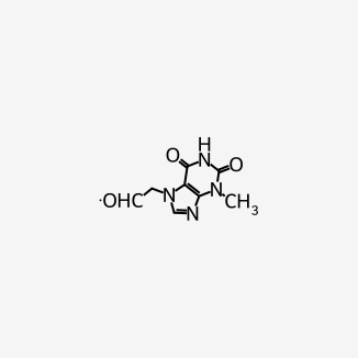 Cn1c(=O)[nH]c(=O)c2c1ncn2C[C]=O